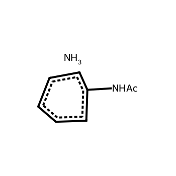 CC(=O)Nc1ccccc1.N